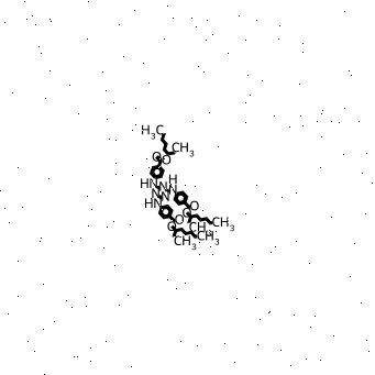 CCCCCC(CC)OC(=O)c1ccc(Nc2nc(Nc3ccc(C(=O)OC(CC)CCCCC)cc3)nc(Nc3ccc(C(=O)OC(CC)CCCCC)cc3)n2)cc1